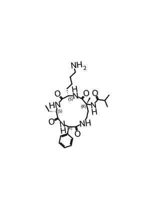 CC[C@@H]1NC(=O)[C@H](CCCCN)NC(=O)[C@](C)(NC(=O)C(C)C)CCNC(=O)[C@@H](c2ccccc2)NC1=O